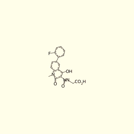 Cn1c(=O)c(C(=O)NCC(=O)O)c(O)c2cc(-c3ccccc3F)ccc21